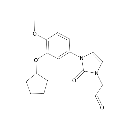 COc1ccc(-n2ccn(CC=O)c2=O)cc1OC1CCCC1